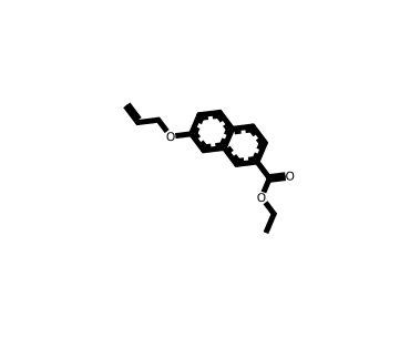 C=CCOc1ccc2ccc(C(=O)OCC)cc2c1